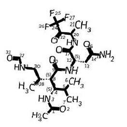 CC(=O)N[C@@H](C(C)C)[C@@H](C(=O)N[C@@H](CC(N)=O)C(=O)NC(C)C(=O)C(F)(F)F)C(C)CNC=O